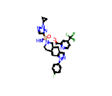 N=S(=O)(c1cnn(C2CC2)n1)N1CCC2=Cc3c(cnn3-c3ccc(F)cc3)C[C@]2(C(=O)c2cc(C(F)(F)F)ccn2)C1